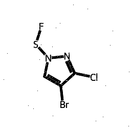 FSn1cc(Br)c(Cl)n1